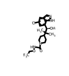 CC(C)(C1CCN(C(=O)NOCC(F)(F)F)CC1)[C@H](O)c1cc(Cl)cc2cn[nH]c12